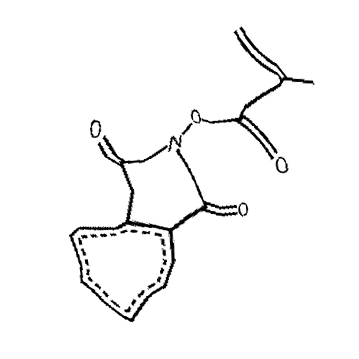 C=C(C)C(=O)ON1C(=O)c2ccccc2C1=O